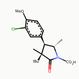 COc1ccc([C@H]2[C@H](C)N(C(=O)O)C(=O)[C@@]2(C)C(C)(C)C)cc1Cl